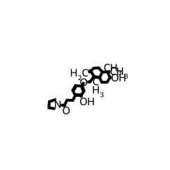 C=C1CCC2C(C)(C)C(O)CCC2(C)C1COc1ccc(CCC(=O)N2CCCC2)c(O)c1